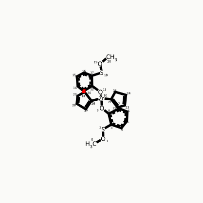 COSc1ccccc1[O][Zr]([O]c1ccccc1SOC)([C]1=CC=CC1)[C]1=CC=CC1